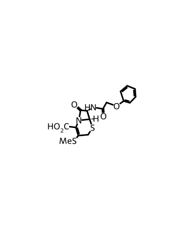 CSC1=C(C(=O)O)N2C(=O)[C@@H](NC(=O)COc3ccccc3)[C@H]2SC1